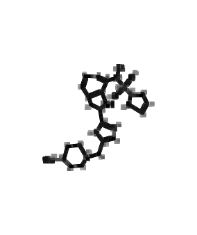 CCN(c1cccc2c1NC(c1ncc(CN3CCC(C(C)(C)C)CC3)s1)C2)S(=O)(=O)c1cccs1